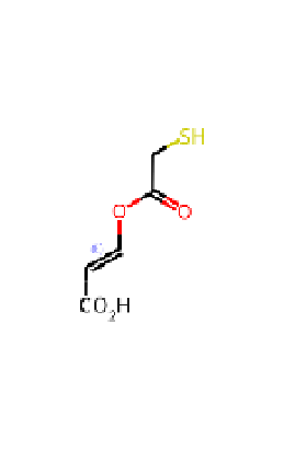 O=C(O)/C=C/OC(=O)CS